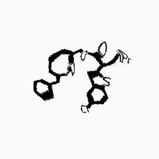 CC(C)C(C(=O)OCc1cccc(Cc2ccccc2)n1)c1cc2cc(Cl)ccc2s1